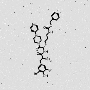 NC(Cc1cc(Br)c(O)c(Br)c1)C(=O)N[C@@H](CCCCNC(=O)OCc1ccccc1)C(=O)N1CCN(c2ccncc2)CC1